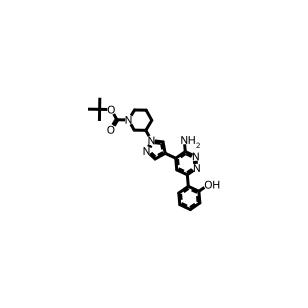 CC(C)(C)OC(=O)N1CCCC(n2cc(-c3cc(-c4ccccc4O)nnc3N)cn2)C1